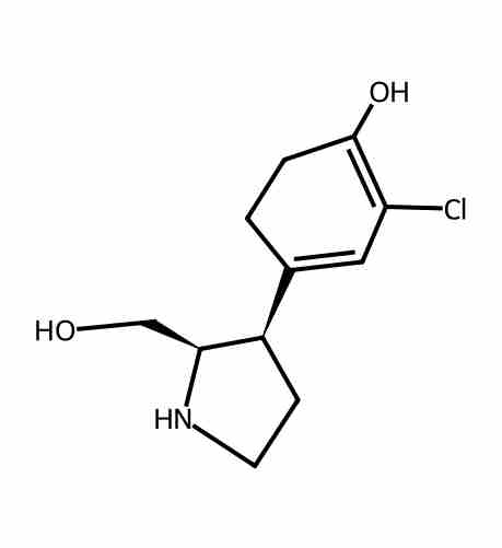 OC[C@@H]1NCC[C@@H]1C1=CC(Cl)=C(O)CC1